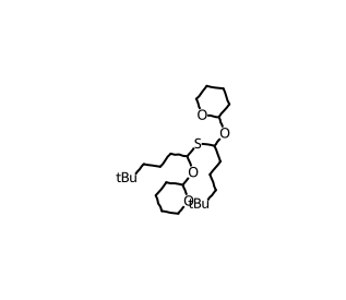 CC(C)(C)CCCC(OC1CCCCO1)SC(CCCC(C)(C)C)OC1CCCCO1